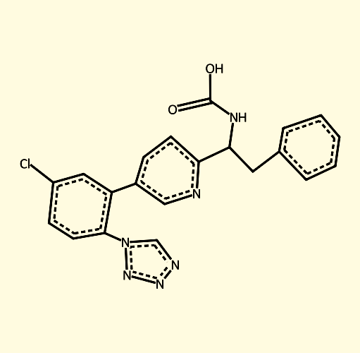 O=C(O)NC(Cc1ccccc1)c1ccc(-c2cc(Cl)ccc2-n2cnnn2)cn1